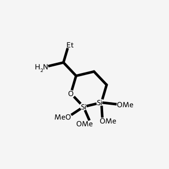 CCC(N)C1CC[Si](OC)(OC)[Si](OC)(OC)O1